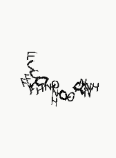 O=C(Nc1ccc(Oc2ccnc3[nH]ncc23)cc1)Nc1ccc(CCCCF)c(C(F)(F)F)c1